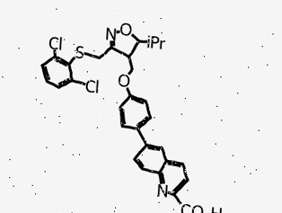 CC(C)C1ON=C(CSc2c(Cl)cccc2Cl)C1COc1ccc(-c2ccc3nc(C(=O)O)ccc3c2)cc1